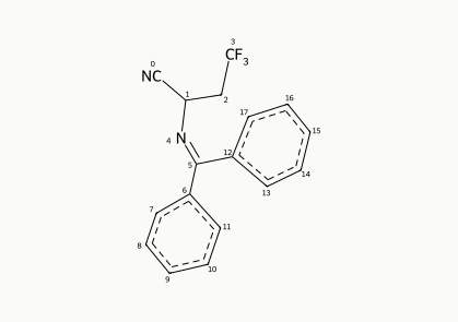 N#CC(CC(F)(F)F)N=C(c1ccccc1)c1ccccc1